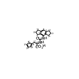 O=C(Nc1c2c(cc3c1CCC3)CCC2)NC(Cc1cccs1)C(=O)O